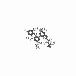 CCSNc1ccc(Oc2c(C)cc(F)cc2C)c(-c2cn(C)c(=O)c3cc(C(=O)NC4(C#N)CC4)sc23)c1